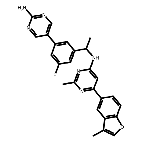 Cc1nc(NC(C)c2cc(F)cc(-c3cnc(N)nc3)c2)cc(-c2ccc3occ(C)c3c2)n1